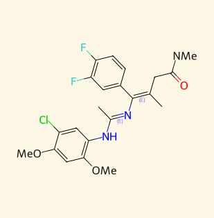 CNC(=O)C/C(C)=C(/N=C(\C)Nc1cc(Cl)c(OC)cc1OC)c1ccc(F)c(F)c1